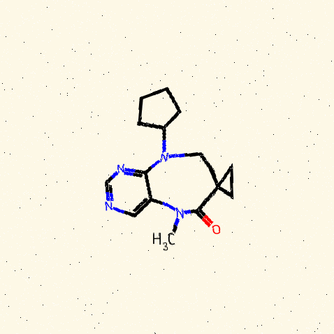 CN1C(=O)C2(CC2)CN(C2CCCC2)c2ncncc21